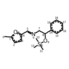 Cc1ccc(C=NCC(O[Si](C)(C)C)c2ccccc2)o1